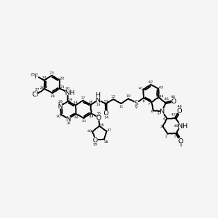 O=C1CCC(N2Cc3c(SCCCC(=O)Nc4cc5c(Nc6ccc(F)c(Cl)c6)ncnc5cc4OC4CCOC4)cccc3C2=O)C(=O)N1